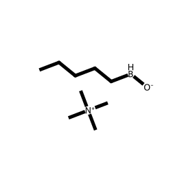 CCCCCB[O-].C[N+](C)(C)C